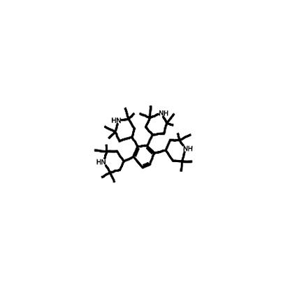 CC1(C)CC(c2ccc(C3CC(C)(C)NC(C)(C)C3)c(C3CC(C)(C)NC(C)(C)C3)c2C2CC(C)(C)NC(C)(C)C2)CC(C)(C)N1